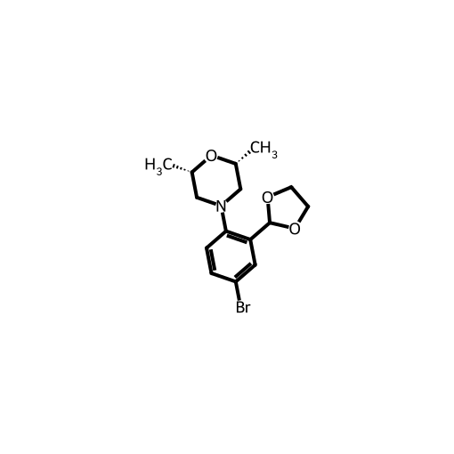 C[C@@H]1CN(c2ccc(Br)cc2C2OCCO2)C[C@H](C)O1